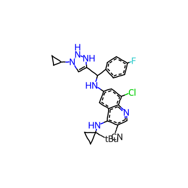 CC(C)(C)C1(Nc2c(C#N)cnc3c(Cl)cc(NC(C4=CN(C5CC5)NN4)c4ccc(F)cc4)cc23)CC1